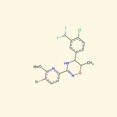 COc1nc(C2=NOC(C)C(c3ccc(Cl)c(C(F)F)c3)N2)ccc1Br